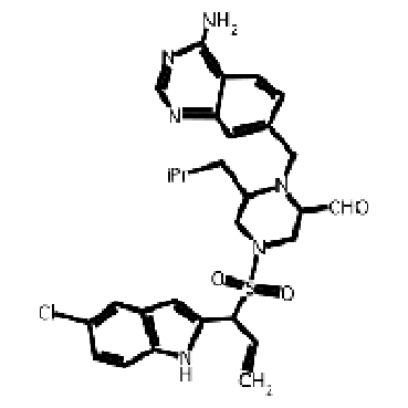 C=CC(c1cc2cc(Cl)ccc2[nH]1)S(=O)(=O)N1CC(C=O)N(Cc2ccc3c(N)ncnc3c2)C(CC(C)C)C1